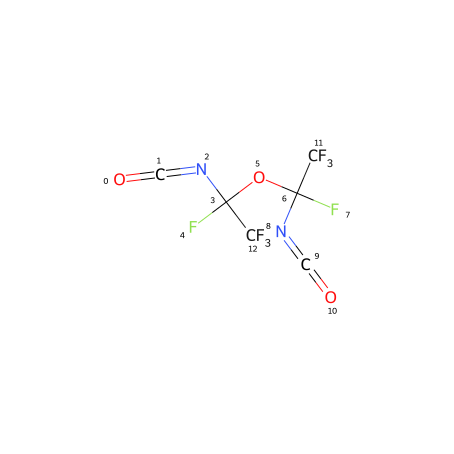 O=C=NC(F)(OC(F)(N=C=O)C(F)(F)F)C(F)(F)F